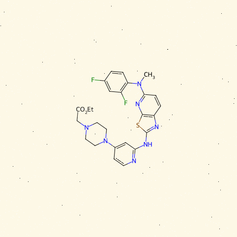 CCOC(=O)CN1CCN(c2ccnc(Nc3nc4ccc(N(C)c5ccc(F)cc5F)nc4s3)c2)CC1